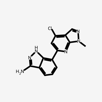 Cn1ncc2c(Cl)cc(-c3cccc4c(N)n[nH]c34)nc21